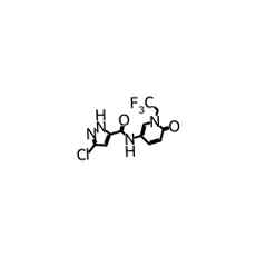 O=C(Nc1ccc(=O)n(CC(F)(F)F)c1)c1cc(Cl)n[nH]1